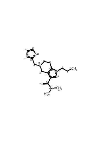 CCCn1nc(C(=O)N(C)C)c2c1CCN(Cc1nccs1)C2